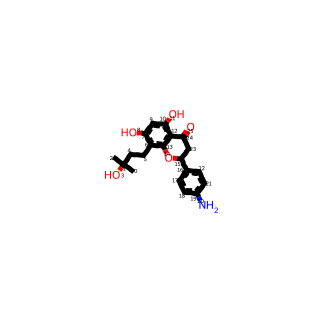 CC(C)(O)CCc1c(O)cc(O)c2c1OC(c1ccc(N)cc1)CC2=O